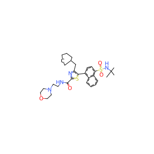 CC(C)(C)NS(=O)(=O)c1ccc(-c2sc(C(=O)NCCN3CCOCC3)nc2CC2CCCCC2)c2ccccc12